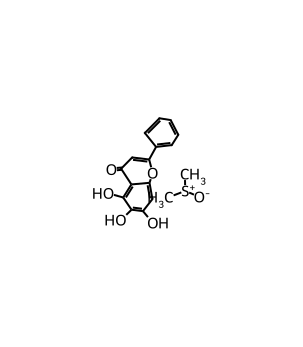 C[S+](C)[O-].O=c1cc(-c2ccccc2)oc2cc(O)c(O)c(O)c12